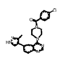 Cc1n[nH]cc1-c1ccc2ncnc(N3CCN(C(=O)c4ccc(Cl)cc4)CC3)c2c1